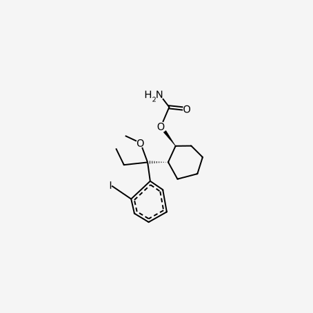 CCC(OC)(c1ccccc1I)[C@H]1CCCC[C@@H]1OC(N)=O